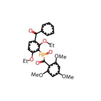 CCOc1ccc(C(=O)c2ccccc2)c(OCC)c1[PH](=O)C(=O)c1c(OC)cc(OC)cc1OC